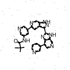 CC(C)(C)C(=O)Nc1cncc(-c2cc3c(-c4nc5c(-c6cccnc6)cncc5[nH]4)n[nH]c3cn2)c1